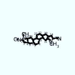 [C-]#[N+]c1cc2cc3ccc4c5cc6c(cc(C#N)n6C)cc5ccc4c3cc2n1C